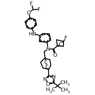 CC(C)(C)c1nc(C23CCC(CN(C(=O)C45CC(F)(C4)C5)c4cccc(Nc5ccc(OC(F)F)cc5)c4)(CC2)CC3)no1